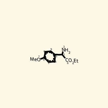 CCOC(=O)C(N)c1ccc(OC)cc1